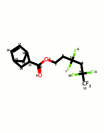 O=C(OCCC(F)(F)CC(F)(F)C(F)(F)F)C1CC2C=CC1C2